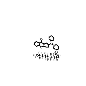 O=S(=O)([O-])C(F)(F)C(F)(F)C(F)(F)C(F)(F)C(F)(F)C(F)(F)C(F)(F)C(F)(F)F.O=c1c2ccccc2oc2ccc([S+](c3ccccc3)c3ccccc3)cc12